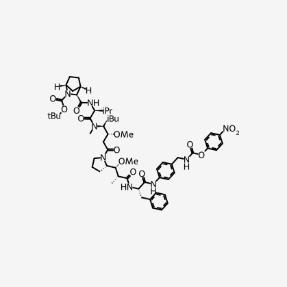 CC[C@H](C)[C@@H]([C@@H](CC(=O)N1CCC[C@H]1[C@H](OC)[C@@H](C)C(=O)N[C@@H](Cc1ccccc1)C(=O)Nc1ccc(CNC(=O)Oc2ccc([N+](=O)[O-])cc2)cc1)OC)N(C)C(=O)[C@@H](NC(=O)[C@@H]1[C@H]2CC[C@H](C2)N1C(=O)OC(C)(C)C)C(C)C